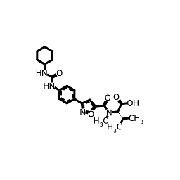 CC(C)[C@@H](C(=O)O)N(C)C(=O)c1cc(-c2ccc(NC(=O)NC3CCCCC3)cc2)no1